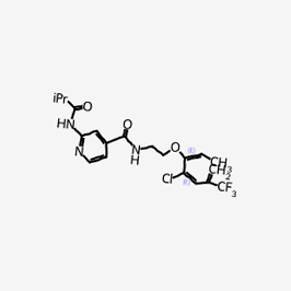 C=C(/C=C(Cl)\C(=C/C)OCCNC(=O)c1ccnc(NC(=O)C(C)C)c1)C(F)(F)F